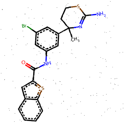 CC1(c2cc(Br)cc(NC(=O)c3cc4ccccc4s3)c2)CCSC(N)=N1